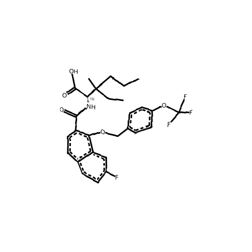 CCCC(C)(CC)[C@H](NC(=O)c1ccc2ccc(F)cc2c1OCc1ccc(OC(F)(F)F)cc1)C(=O)O